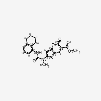 COC(=O)c1cc2sc(N(C)C(=O)Nc3cccc4c3CCCC4)cc2oc1=O